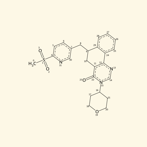 CS(=O)(=O)c1ccc(CC2Cc3c(ncn(C4CCOCC4)c3=O)-c3ccccc32)cn1